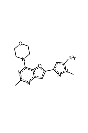 CCCc1cc(-c2cc3nc(C)nc(N4CCOCC4)c3o2)nn1C